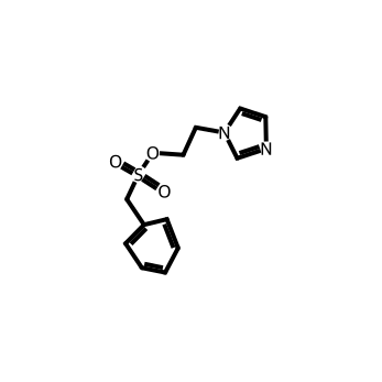 O=S(=O)(Cc1ccccc1)OCCn1ccnc1